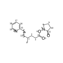 CC(CCC(=O)ON1CCCC1=O)SSc1ccccn1